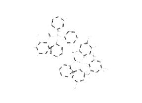 Cc1cc(C)[c]([Sn]([C](=O)c2ccccc2)([c]2c(C)cc(C)cc2C)[c]2c(C)cc(C)cc2C)c(C)c1.Cc1ccccc1[C](=O)[Sn]([c]1ccccc1)([c]1ccccc1)[c]1ccccc1